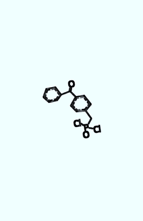 O=C(c1ccccc1)c1ccc(CP(=O)(Cl)Cl)cc1